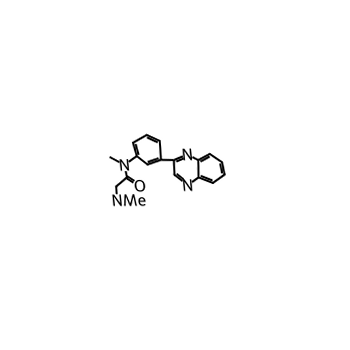 CNCC(=O)N(C)c1cccc(-c2cnc3ccccc3n2)c1